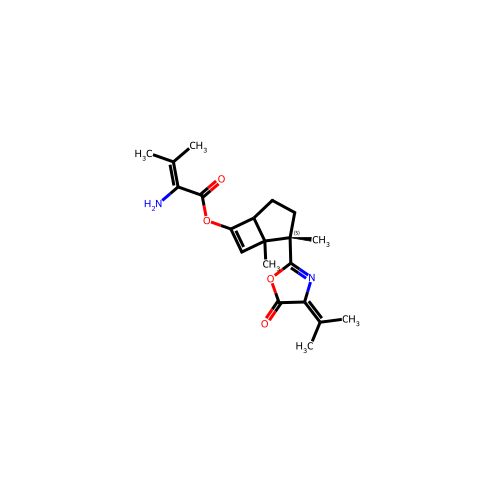 CC(C)=C(N)C(=O)OC1=CC2(C)C1CC[C@]2(C)C1=NC(=C(C)C)C(=O)O1